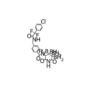 BC1(B)C(=O)NC(=O)C(N2Cc3cc(CNC(=O)C(F)(F)c4ccc(Cl)cc4)ccc3C2=O)C1(B)B